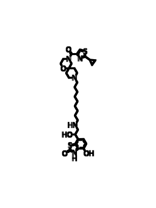 O=C(c1csc(C2CC2)n1)N1CCOC2(CCN(CCCCCCCCCNCC(O)c3ccc(O)c4[nH]c(=O)sc34)CC2)C1